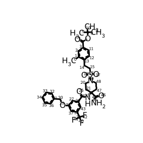 Cc1cc(C(=O)OC(C)(C)C)ccc1CCS(=O)(=O)N1CCC(NC(=O)c2cc(OCc3ccccc3)cc(C(F)(F)F)c2)(C(N)=O)CC1